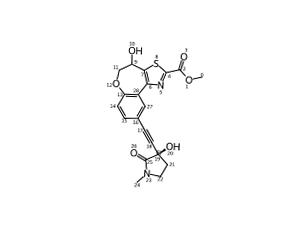 COC(=O)c1nc2c(s1)C(O)COc1ccc(C#C[C@]3(O)CCN(C)C3=O)cc1-2